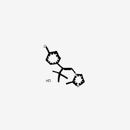 Cc1nccn1C=C(c1ccc(Cl)cc1)C(C)(C)C.Cl